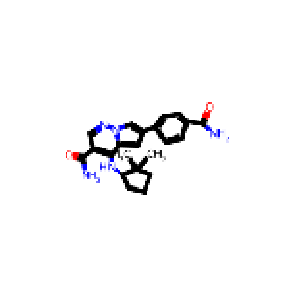 CC1(C)CCC[C@H]1Nc1c(C(N)=O)cnn2cc(-c3ccc(C(N)=O)cc3)cc12